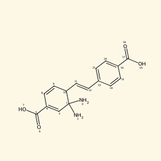 NC1(N)C=C(C(=O)O)C=CC1C=Cc1ccc(C(=O)O)cc1